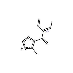 C=C/C(=C\C)C(=C)c1cc[nH]c1C